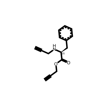 C#CCN[C@@H](Cc1ccccc1)C(=O)OCC#C